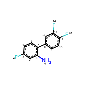 Nc1cc(F)ccc1-c1ccc(F)c(F)c1